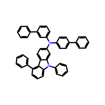 c1ccc(-c2ccc(N(c3cccc(-c4ccccc4)c3)c3ccc4c5c(-c6ccccc6)cccc5n(-c5ccccc5)c4c3)cc2)cc1